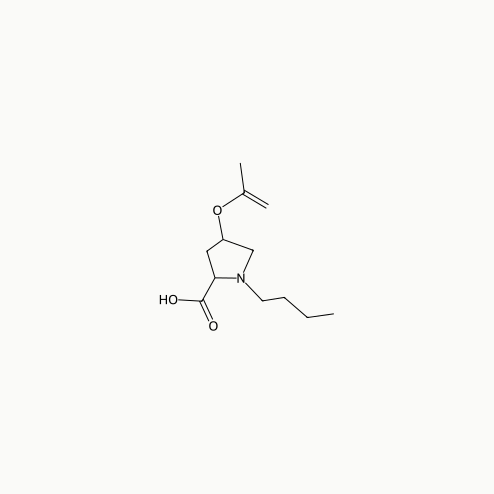 C=C(C)OC1CC(C(=O)O)N(CCCC)C1